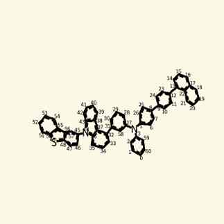 c1ccc(N(c2ccc(-c3ccc(-c4cccc5ccccc45)cc3)cc2)c2cccc(-c3cccc4c3c3ccccc3n4-c3ccc4sc5ccccc5c4c3)c2)cc1